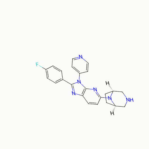 Fc1ccc(-c2nc3ccc(N4[C@@H]5CC[C@H]4CNC5)nc3n2-c2ccncc2)cc1